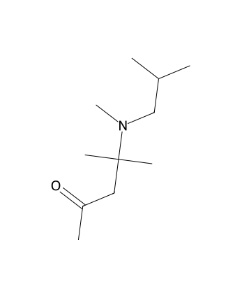 CC(=O)CC(C)(C)N(C)CC(C)C